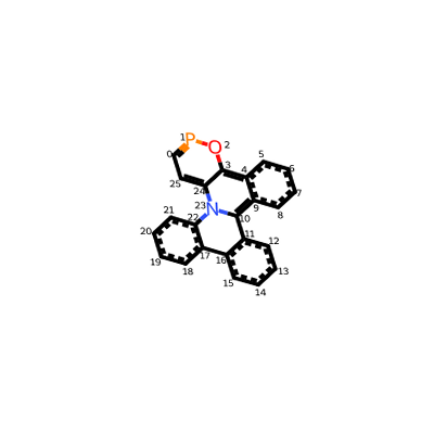 C1=POC2=c3ccccc3=C3c4ccccc4-c4ccccc4N3C2=C1